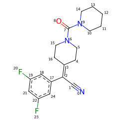 N#CC(=C1CCN(C(=O)N2CCCCC2)CC1)c1cc(F)cc(F)c1